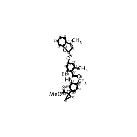 CCc1cc(OC[C@@H]2CN(C)c3ccccc3O2)cc(C)c1C(=O)Nc1cc(C2(C(=O)OC)CC2)ccc1C(F)(F)F